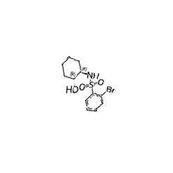 O=S(=O)(N[C@@H]1CCCC[C@H]1O)c1ccccc1Br